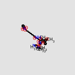 COc1ccc(C(OCC2CC(OP(OCCC#N)N(C(C)C)C(C)C)CN2C(=O)CCCCCNC(=O)CCCCCCCCCCCON2C(=O)c3ccccc3C2=O)(c2ccccc2)c2ccc(OC)cc2)cc1